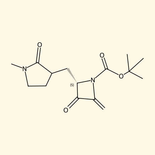 C=C1C(=O)[C@H](CC2CCN(C)C2=O)N1C(=O)OC(C)(C)C